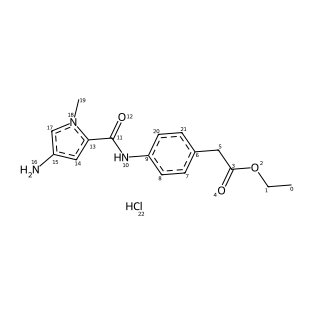 CCOC(=O)Cc1ccc(NC(=O)c2cc(N)cn2C)cc1.Cl